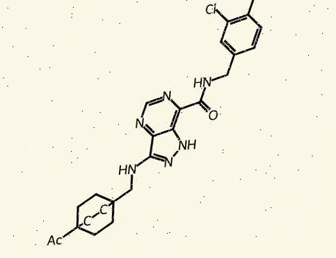 CC(=O)C12CCC(CNc3n[nH]c4c(C(=O)NCc5ccc(F)c(Cl)c5)ncnc34)(CC1)CC2